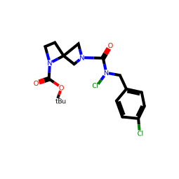 CC(C)(C)OC(=O)N1CCC12CN(C(=O)N(Cl)Cc1ccc(Cl)cc1)C2